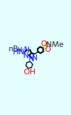 CCCCNc1ncc2c(-c3ccc(S(=O)(=O)NC)cc3)nn([C@H]3CC[C@@H](O)CC3)c2n1